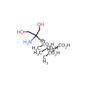 CC(=O)O.CC(=O)O.CC(=O)O.CC(=O)O.CC(C)C(N)(CO)CO